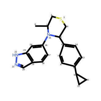 CC1[CH]SCC(c2ccc(C3CC3)cc2)N1c1ccc2cn[nH]c2c1